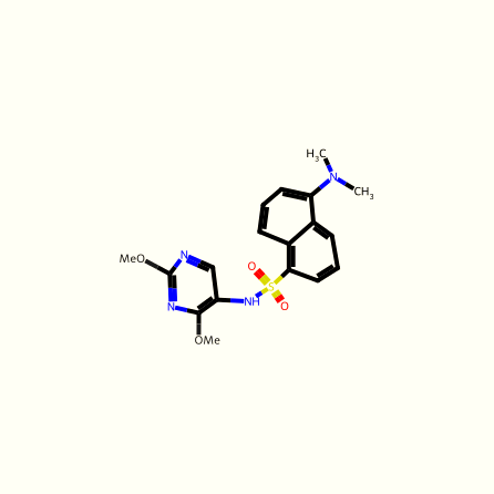 COc1ncc(NS(=O)(=O)c2cccc3c(N(C)C)cccc23)c(OC)n1